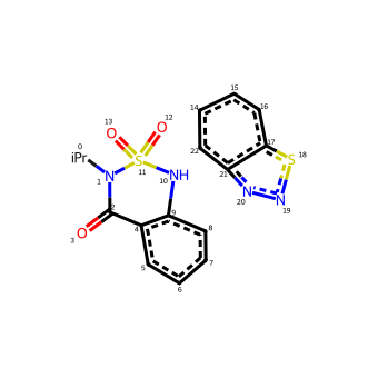 CC(C)N1C(=O)c2ccccc2NS1(=O)=O.c1ccc2snnc2c1